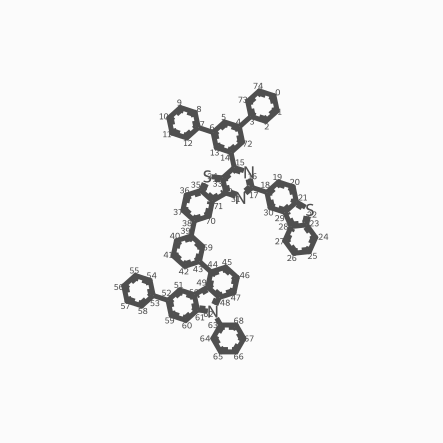 c1ccc(-c2cc(-c3ccccc3)cc(-c3nc(-c4ccc5sc6ccccc6c5c4)nc4c3sc3ccc(-c5cccc(-c6cccc7c6c6cc(-c8ccccc8)ccc6n7-c6ccccc6)c5)cc34)c2)cc1